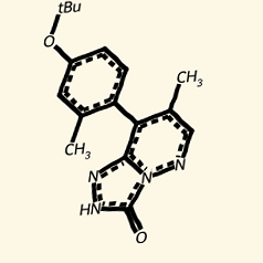 Cc1cc(OC(C)(C)C)ccc1-c1c(C)cnn2c(=O)[nH]nc12